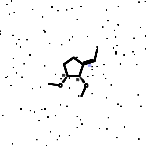 C/C=C1\CC[C@@H](OC)[C@H]1OC